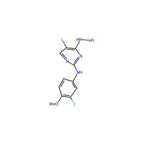 CCCNc1nc(Nc2ccc(OC)c(F)c2)ncc1I